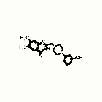 Cc1cc2nc(CN3CCN(c4cccc(O)c4)CC3)[nH]c(=O)c2cc1C